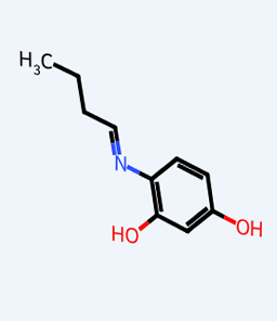 CCCC=Nc1ccc(O)cc1O